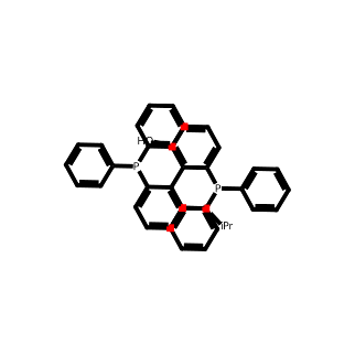 CC(C)Oc1cccc(P(c2ccccc2)c2ccccc2)c1-c1c(O)cccc1P(c1ccccc1)c1ccccc1